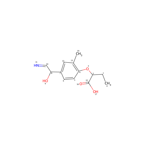 CCC(Oc1ccc(C(O)C=N)cc1C)C(=O)O